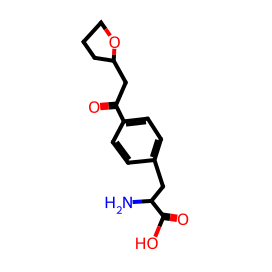 NC(Cc1ccc(C(=O)CC2CCCO2)cc1)C(=O)O